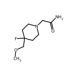 COCC1(F)CCN(CC(N)=O)CC1